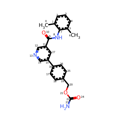 Cc1cccc(C)c1NC(=O)c1cncc(-c2ccc(COC(N)=O)cc2)c1